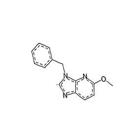 COc1ccc2n[c]n(Cc3ccccc3)c2n1